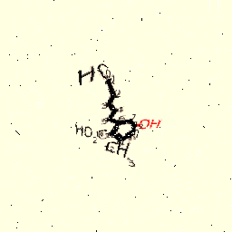 C#CCCCCc1cc(O)cc(C)c1C(=O)O